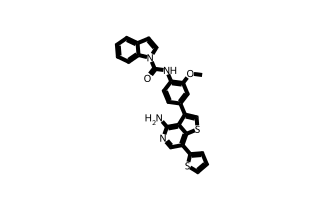 COc1cc(-c2csc3c(-c4cccs4)cnc(N)c23)ccc1NC(=O)n1ccc2ccccc21